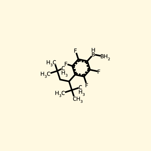 BBc1c(F)c(F)c(C(CC(C)(C)C)C(C)(C)C)c(F)c1F